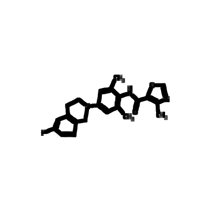 Cc1cc(N2CCc3cc(F)ccc3C2)cc(C)c1NC(=O)c1ocnc1C